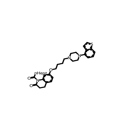 CCCCCCCC(=O)N1C(=O)CCc2ccc(OCCCCN3CCN(c4cccc5sccc45)CC3)cc21